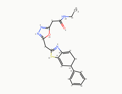 O=C(Cc1nnc(Cc2nc3c(s2)=CC(c2ccccc2)CC=3)o1)NCC(F)(F)F